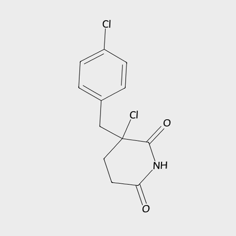 O=C1CCC(Cl)(Cc2ccc(Cl)cc2)C(=O)N1